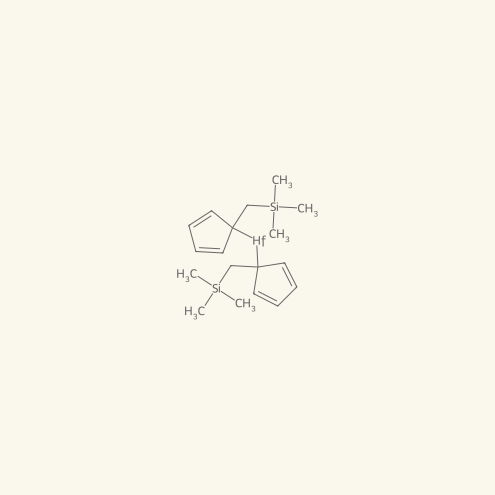 C[Si](C)(C)C[C]1([Hf][C]2(C[Si](C)(C)C)C=CC=C2)C=CC=C1